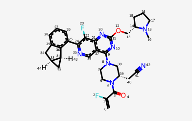 C=C(F)C(=O)N1CCN(c2nc(OC[C@@H]3CCCN3C)nc3c(F)c(-c4cccc5c4[C@H]4C[C@H]4C5)ncc23)C[C@@H]1CC#N